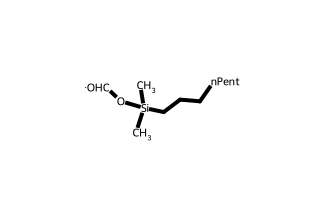 CCCCCCCC[Si](C)(C)O[C]=O